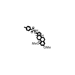 COc1cc2c(c(OC)c1)[C@H]1CC[C@]3(C)C(=NNS(=O)(=O)c4ccc(C)cc4)CC[C@H]3[C@H]1CC2